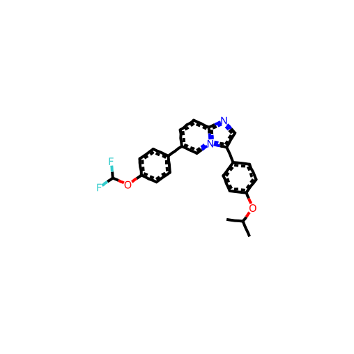 CC(C)Oc1ccc(-c2cnc3ccc(-c4ccc(OC(F)F)cc4)cn23)cc1